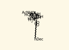 CCCCCCCCCCCCCCCCCCCCCC(=O)OC(=O)CC[C@@H](NC(=O)[C@H](CO)NCC(C)O[C@H]1[C@H](O)[C@@H](CO)O[C@H](O)[C@@H]1NC(C)=O)C(N)=O